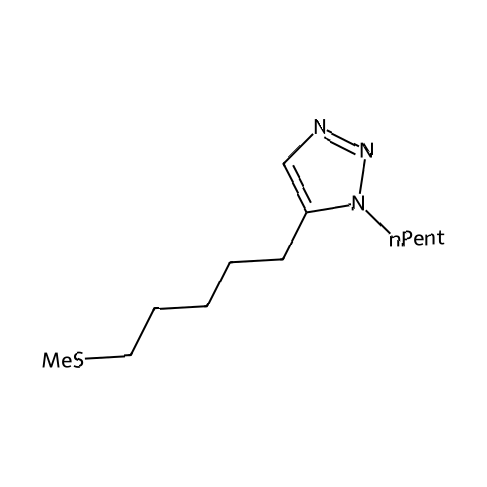 CCCCCn1nncc1CCCCCSC